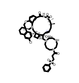 CO[C@@]1(CN2CCCN(C(=O)CCS(=O)(=O)c3ccccc3)CCNCC2)/C=C/C[C@H](C)[C@@H](C)S(=O)(=O)NC(=O)c2ccc3c(c2)N(C[C@@H]2CC[C@H]21)C[C@@]1(CCCc2cc(Cl)ccc21)CO3